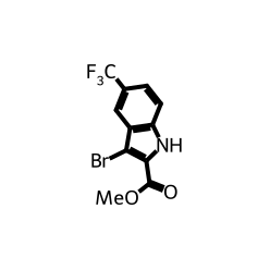 COC(=O)c1[nH]c2ccc(C(F)(F)F)cc2c1Br